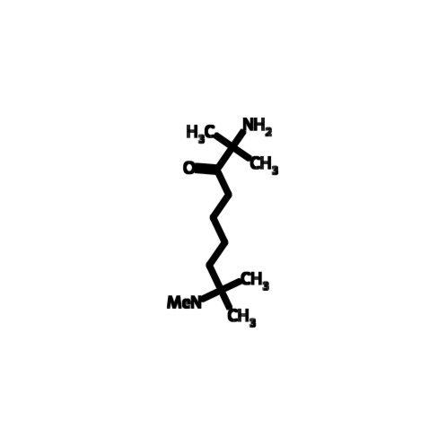 CNC(C)(C)CCCCC(=O)C(C)(C)N